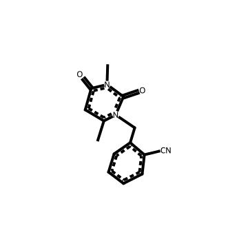 Cc1cc(=O)n(C)c(=O)n1Cc1ccccc1C#N